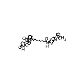 CN1CCC[C@@H]1c1cn2cc(NC(=O)CCCCCCNc3cccc4c3C(=O)N(C3CCC(=O)NC3=O)C4=O)ncc2n1